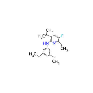 C=C(C)c1cc(F)c(CC)nc1Nc1cc(CC)cc(CC)c1